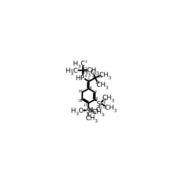 CC(C)(C)PC(=C1C=C([Si](C)(C)C)C([Si](C)(C)C)=CC1)C(C)(C)C